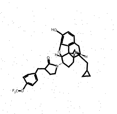 O=C1C(Cc2ccc(OC(F)(F)F)cc2)CCN1[C@H]1CC[C@@]2(O)[C@H]3Cc4ccc(O)c5c4[C@@]2(CCN3CC2CC2)[C@H]1O5